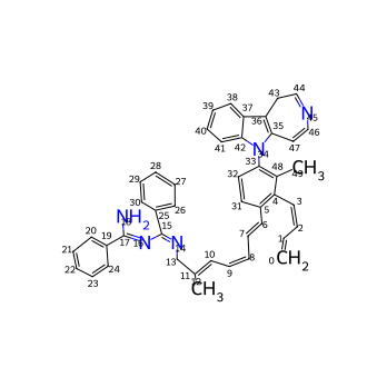 C=C/C=C\c1c(/C=C/C=C\C=C(/C)C/N=C(\N=C(/N)c2ccccc2)c2ccccc2)ccc(-n2c3c(c4ccccc42)CC=NC=C3)c1C